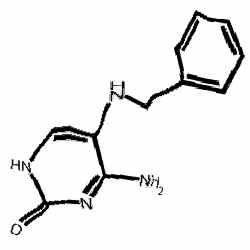 Nc1nc(=O)[nH]cc1NCc1ccccc1